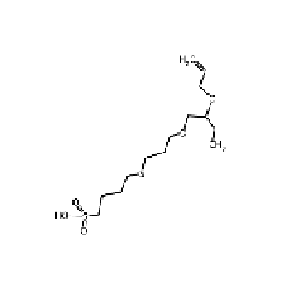 C=CCOC(CC)COCCCSCCCCS(=O)(=O)O